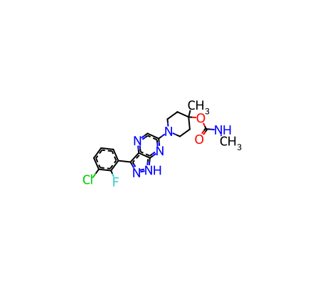 CNC(=O)OC1(C)CCN(c2cnc3c(-c4cccc(Cl)c4F)n[nH]c3n2)CC1